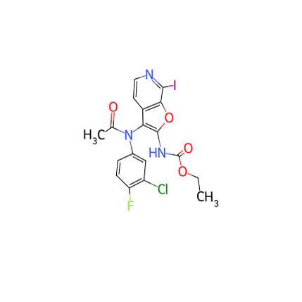 CCOC(=O)Nc1oc2c(I)nccc2c1N(C(C)=O)c1ccc(F)c(Cl)c1